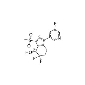 CS(=O)(=O)c1sc(-c2cncc(F)c2)c2c1[C@H](O)C(F)(F)CC2